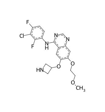 COCCOc1cc2ncnc(Nc3ccc(F)c(Cl)c3F)c2cc1OC1CNC1